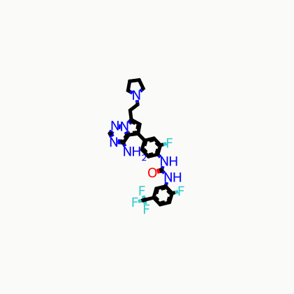 Nc1ncnn2c(CCN3CCCC3)cc(-c3ccc(NC(=O)Nc4cc(C(F)(F)F)ccc4F)c(F)c3)c12